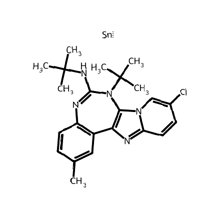 Cc1ccc2c(c1)-c1nc3ccc(Cl)cn3c1N(C(C)(C)C)C(NC(C)(C)C)=N2.[Sn]